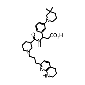 CC1(C)CCCN(c2cccc(C(CC(=O)O)NC(=O)C3CCCN(CCCc4ccc5c(n4)NCCC5)C3)c2)C1